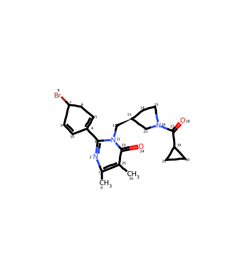 Cc1nc(C2=CCC(Br)C=C2)n(C[C@H]2CCN(C(=O)C3CC3)C2)c(=O)c1C